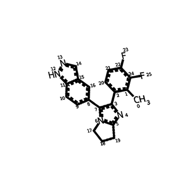 Cc1c(-c2nc3n(c2-c2ccc4[nH]ncc4c2)CCC3)ccc(F)c1F